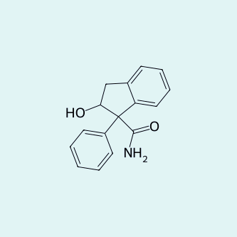 NC(=O)C1(c2ccccc2)c2ccccc2CC1O